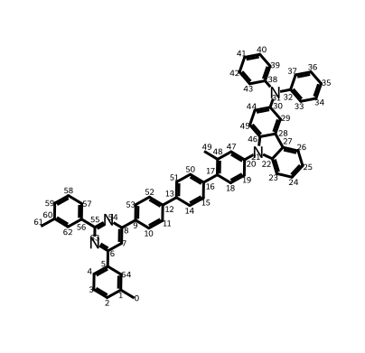 Cc1cccc(-c2cc(-c3ccc(-c4ccc(-c5ccc(-n6c7ccccc7c7cc(N(c8ccccc8)c8ccccc8)ccc76)cc5C)cc4)cc3)nc(-c3cccc(C)c3)n2)c1